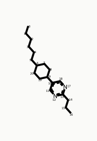 CCCCCCC1CCC(c2cnc(CCC)nc2)CC1